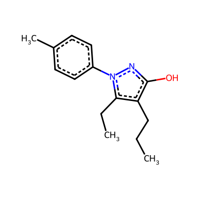 CCCc1c(O)nn(-c2ccc(C)cc2)c1CC